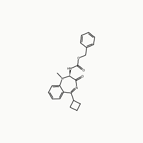 CN1c2ccccc2C(C2CCC2)=NC(=O)[C@@H]1NC(=O)OCc1ccccc1